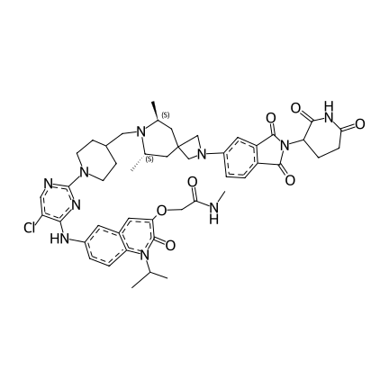 CNC(=O)COc1cc2cc(Nc3nc(N4CCC(CN5[C@@H](C)CC6(C[C@@H]5C)CN(c5ccc7c(c5)C(=O)N(C5CCC(=O)NC5=O)C7=O)C6)CC4)ncc3Cl)ccc2n(C(C)C)c1=O